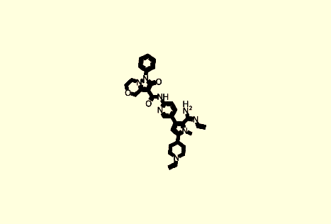 C=C/N=C(/N)c1c(-c2ccc(NC(=O)c3c4n(n(-c5ccccc5)c3=O)CCOC4)nc2)cc(C2CCN(C=C)CC2)n1C